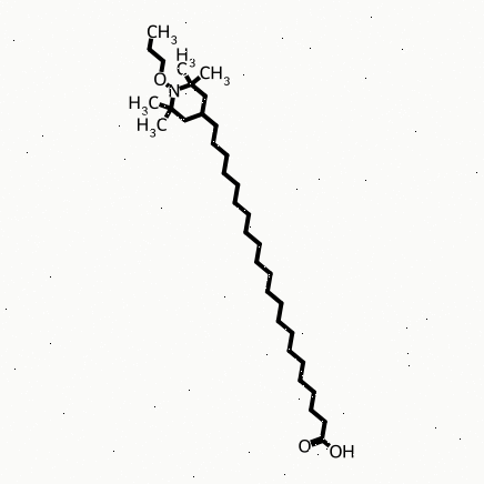 CCCON1C(C)(C)CC(CCCCCCCCCCCCCCCCCCCCCC(=O)O)CC1(C)C